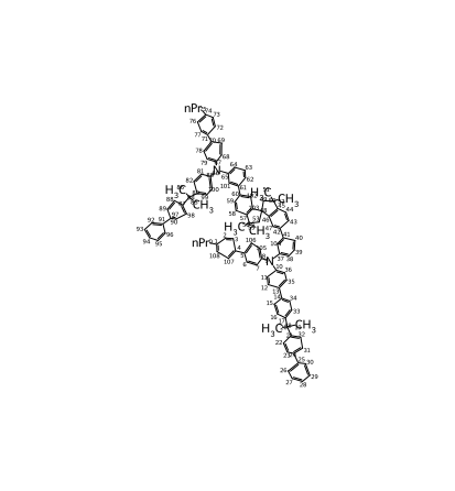 CCCc1ccc(-c2ccc(N(c3ccc(-c4ccc(C(C)(C)c5ccc(-c6ccccc6)cc5)cc4)cc3)c3cccc(-c4ccc5c(c4)C4(CC5(C)C)CC(C)(C)c5ccc(-c6cccc(N(c7ccc(-c8ccc(CCC)cc8)cc7)c7ccc(C(C)(C)c8ccc(-c9ccccc9)cc8)cc7)c6)cc54)c3)cc2)cc1